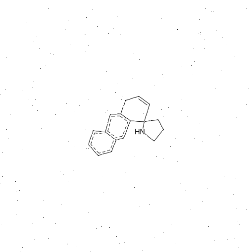 C1=CC2(CCCN2)c2cc3ccccc3cc2C1